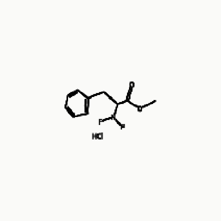 COC(=O)C(Cc1ccccc1)N(F)F.Cl